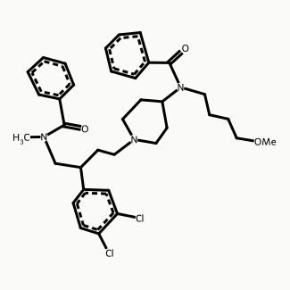 COCCCCN(C(=O)c1ccccc1)C1CCN(CCC(CN(C)C(=O)c2ccccc2)c2ccc(Cl)c(Cl)c2)CC1